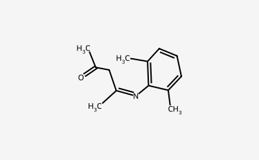 CC(=O)CC(C)=Nc1c(C)cccc1C